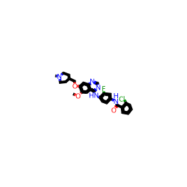 COc1cc2c(Nc3ccc(NC(=O)c4ccccc4Cl)cc3F)ncnc2cc1OCC1CCN(C)CC1